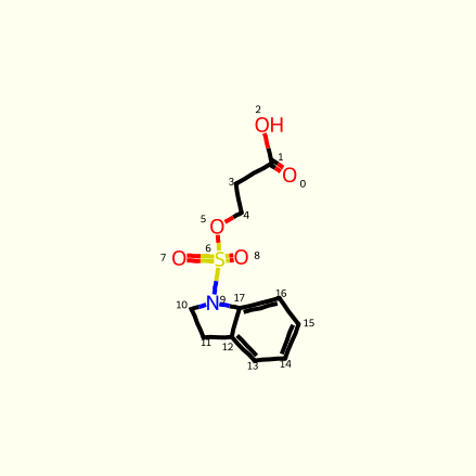 O=C(O)CCOS(=O)(=O)N1CCc2ccccc21